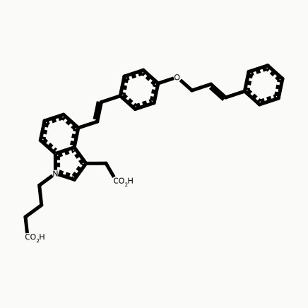 O=C(O)CCCn1cc(CC(=O)O)c2c(C=Cc3ccc(OCC=Cc4ccccc4)cc3)cccc21